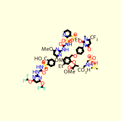 CCS(=O)(=O)c1cccnc1S(=O)(=O)NC(=O)Nc1nc(OC)cc(OC)n1.CCc1ccc(COc2ccc(-n3c(=O)cc(C(F)(F)F)n(C)c3=O)cc2)c(OC(C)C(=O)OC)c1.C[S+](C)C.O=C(Nc1nc(OC(F)F)cc(OC(F)F)n1)NS(=O)(=O)c1ccccc1C(=O)O.O=C(O)CNCP(=O)([O-])O